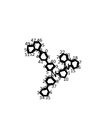 C1=CC(c2ccc(N(C3=CCCC(n4c5ccccc5c5ccccc54)=C3)c3ccc(-c4ccccc4)cc3)cc2)CC=C1c1cccc2ccccc12